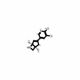 Clc1cc(C2=C[C@@H]3NC[C@@H]3C2)cnc1Cl